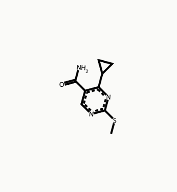 CSc1ncc(C(N)=O)c(C2CC2)n1